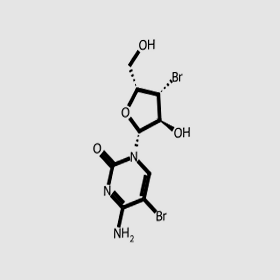 Nc1nc(=O)n([C@@H]2O[C@H](CO)[C@H](Br)[C@H]2O)cc1Br